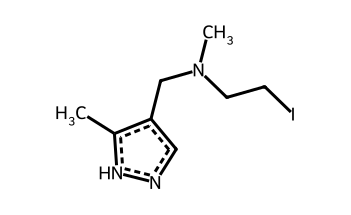 Cc1[nH]ncc1CN(C)CCI